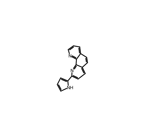 c1c[nH]c(-c2ccc3ccc4cccnc4c3n2)c1